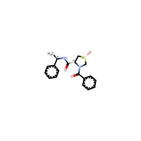 C[C@@H](NC(=O)[C@@H]1C[S@+]([O-])CN1C(=O)c1ccccc1)c1ccccc1